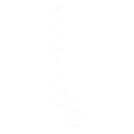 BrCCCCCCCCCCOC1CCC(c2ccccc2)CC1